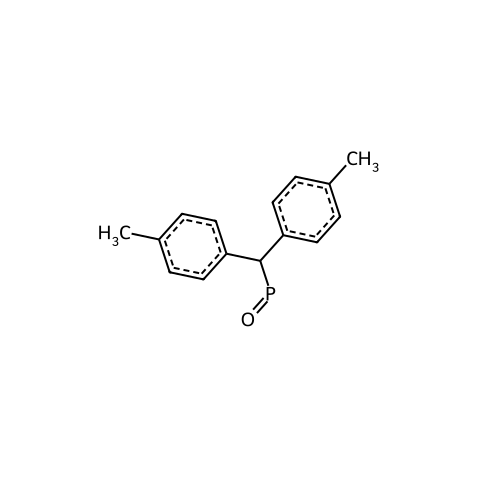 Cc1ccc(C(P=O)c2ccc(C)cc2)cc1